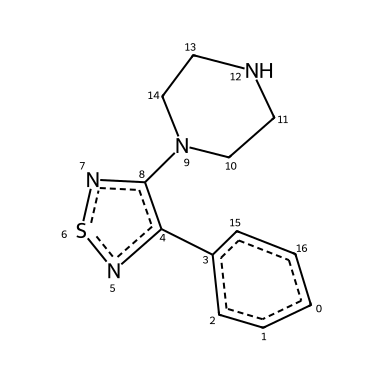 c1ccc(-c2nsnc2N2CCNCC2)cc1